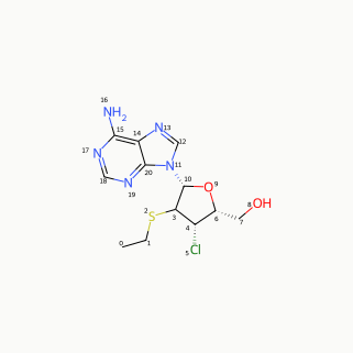 CCSC1[C@@H](Cl)[C@@H](CO)O[C@H]1n1cnc2c(N)ncnc21